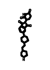 O=C1CCC(N2C(=O)c3ccc(N4CCC(CCN5CCNCC5)CC4)cc3C2=O)C(=O)N1